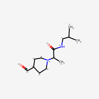 CC(C)CNC(=O)C(C)N1CCC(C=O)CC1